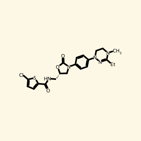 CCC1=NN(c2ccc(N3C[C@H](CNC(=O)c4ccc(Cl)s4)OC3=O)cc2)CCN1C